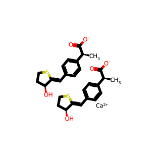 C[C@H](C(=O)[O-])c1ccc(/C=C2\SCC[C@@H]2O)cc1.C[C@H](C(=O)[O-])c1ccc(/C=C2\SCC[C@@H]2O)cc1.[Ca+2]